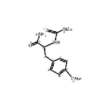 COC(=O)NC(Cc1ccc(OC)cc1)C(N)=O